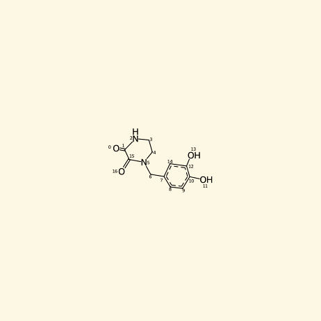 O=C1NCCN(Cc2ccc(O)c(O)c2)C1=O